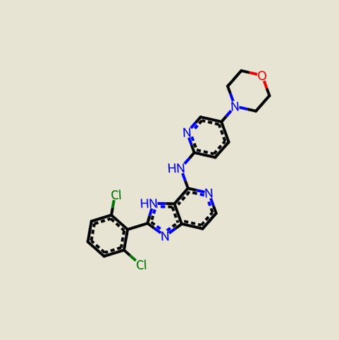 Clc1cccc(Cl)c1-c1nc2ccnc(Nc3ccc(N4CCOCC4)cn3)c2[nH]1